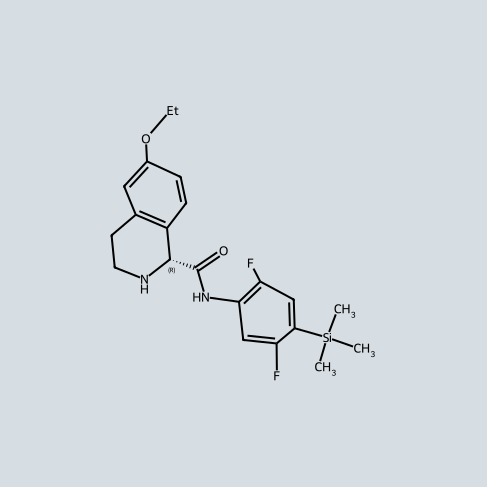 CCOc1ccc2c(c1)CCN[C@H]2C(=O)Nc1cc(F)c([Si](C)(C)C)cc1F